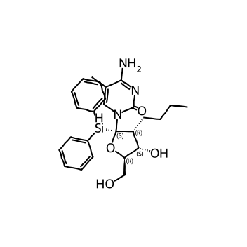 CCCC[C@@H]1[C@H](O)[C@@H](CO)O[C@]1(n1cc(C)c(N)nc1=O)[SiH](c1ccccc1)c1ccccc1